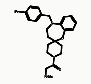 CC(=O)NCC(=O)N1CCC2(CC1)CCN(Cc1ccc(C(C)C)cc1)c1ccccc1O2